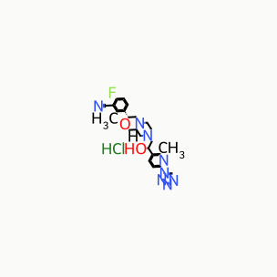 Cc1nc(-n2cnnn2)ccc1C(O)CN1CCN2C[C@@H](c3ccc(F)c(C#N)c3C)OC[C@@H]2C1.Cl